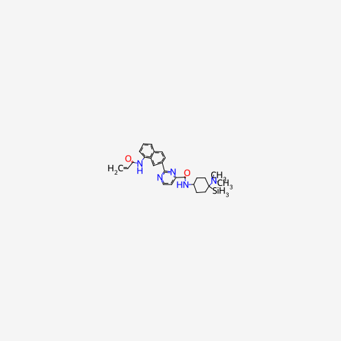 C=CC(=O)Nc1cccc2ccc(-c3nccc(C(=O)NC4CCC([SiH3])(N(C)C)CC4)n3)cc12